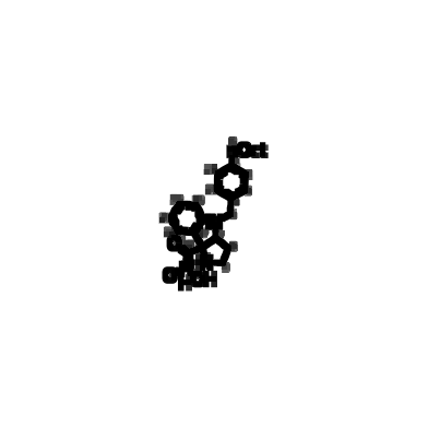 CCCCCCCCc1ccc(CNC2CCNC2(C(=O)[PH](=O)O)c2ccccc2)cc1